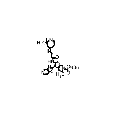 CC1CNCCC[C@H](NCCC(=O)Nc2sc3c(c2-c2nc4cnccc4s2)C[C@@H](C)N(C(=O)OC(C)(C)C)C3)C1